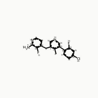 Cc1c(Cc2ccnc(N)c2F)cncc1-c1ccc(Cl)cc1F